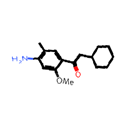 COc1cc(N)c(C)cc1C(=O)CC1CCCCC1